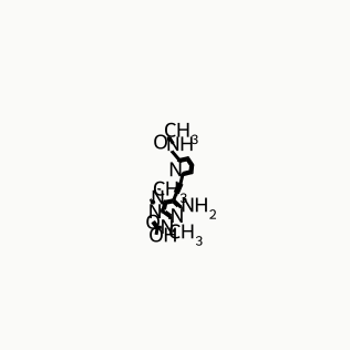 CC(=O)NCc1cccc(C#Cc2c(N)nc(N(C)C(=O)O)c3ncn(C)c23)n1